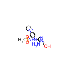 CS(=O)(=O)NC1=CC(=[N+]2CCCCC2)C=CC1=Nc1cnn(CCO)c1N